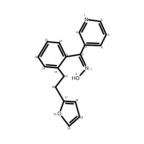 ON=C(c1cccnc1)c1ccccc1CCc1ccco1